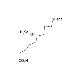 CCCCCCCCCCCCCCCC(=O)O.[KH].[SeH2]